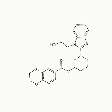 O=C(NC1CCCC(c2nc3ccccc3n2CCO)C1)c1ccc2c(c1)OCCO2